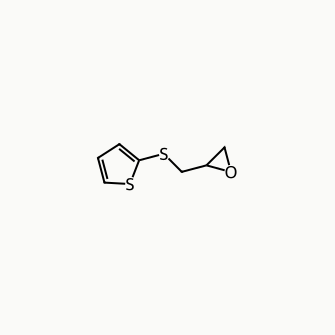 c1csc(SCC2CO2)c1